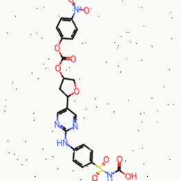 O=C(O)NS(=O)(=O)c1ccc(Nc2ncc(C3CC(OC(=O)Oc4ccc([N+](=O)[O-])cc4)CO3)cn2)cc1